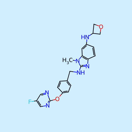 Cn1c(NCc2ccc(Oc3ncc(F)cn3)cc2)nc2ccc(NC3COC3)cc21